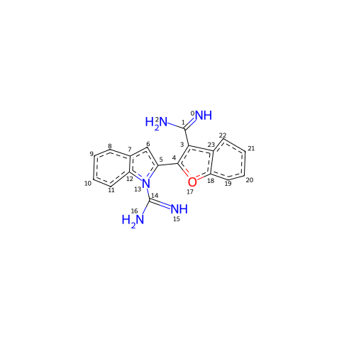 N=C(N)c1c(-c2cc3ccccc3n2C(=N)N)oc2ccccc12